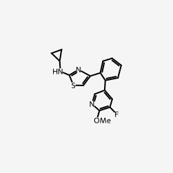 COc1ncc(-c2ccccc2-c2csc(NC3CC3)n2)cc1F